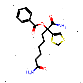 NC(=O)CCCCCC(OC(=O)c1ccccc1)(C(N)=O)C1=CSCS1